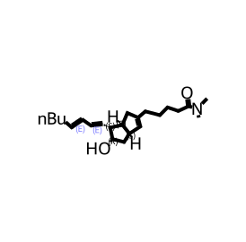 CCCC/C=C/C=C/[C@@H]1[C@H]2CC(CCCCC(=O)N(C)C)=C[C@H]2C[C@H]1O